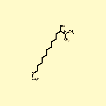 C[SiH](C)C(CCCCCCCCCCOC(=O)O)C(C)(C)C